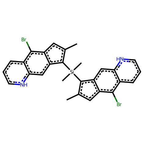 Cc1cc2c(Br)c3ccc[nH]c3cc2c1[Si](C)(C)c1c(C)cc2c(Br)c3ccc[nH]c3cc12